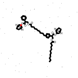 CCCCCCCCCCCC(=O)OCC(C(=O)O[C@H]1C[C@H]2CC[C@@H](C1)N2C)c1ccc(CCCCCCCCCC(=O)OCC(C(=O)O[C@H]2C[C@H]3CC[C@@H](C2)N3C)c2ccccc2)cc1